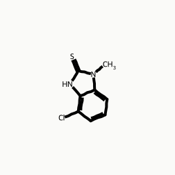 Cn1c(=S)[nH]c2c(Cl)cccc21